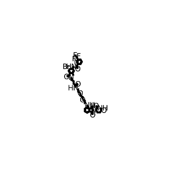 O=C(CCCN1Cc2cc(NC(=O)c3cccc(C(F)(F)F)n3)c(Br)cc2C1=O)NCCOCCOCCNc1cccc2c1C(=O)N(C1CCC(=O)NC1=O)C2=O